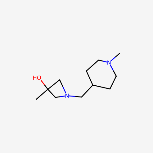 CN1CCC(CN2CC(C)(O)C2)CC1